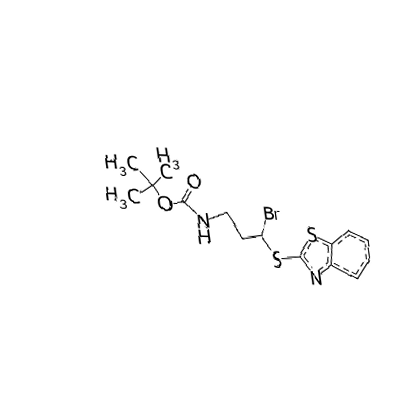 CC(C)(C)OC(=O)NCCC(Br)Sc1nc2ccccc2s1